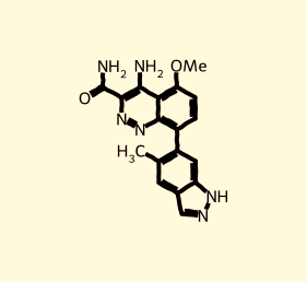 COc1ccc(-c2cc3[nH]ncc3cc2C)c2nnc(C(N)=O)c(N)c12